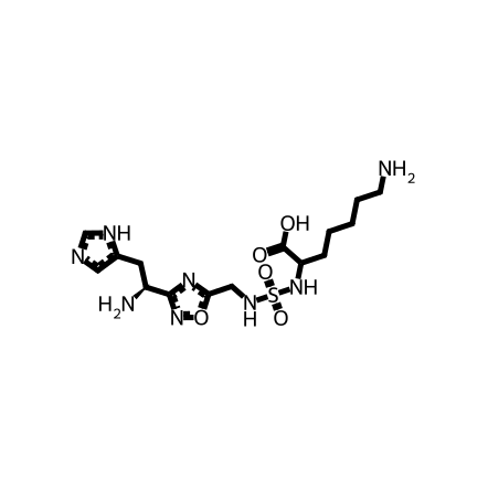 NCCCCCC(NS(=O)(=O)NCc1nc([C@@H](N)Cc2cnc[nH]2)no1)C(=O)O